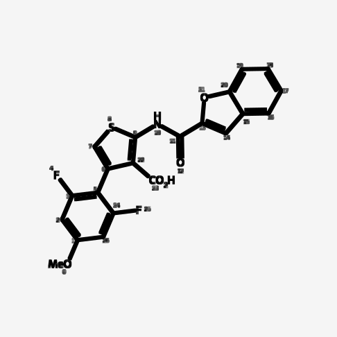 COc1cc(F)c(-c2csc(NC(=O)c3cc4ccccc4o3)c2C(=O)O)c(F)c1